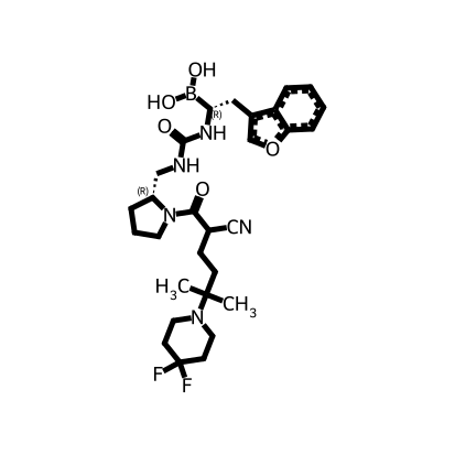 CC(C)(CCC(C#N)C(=O)N1CCC[C@@H]1CNC(=O)N[C@@H](Cc1coc2ccccc12)B(O)O)N1CCC(F)(F)CC1